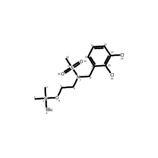 CC(C)(C)[Si](C)(C)OCCN(Cc1cccc(Cl)c1Cl)S(C)(=O)=O